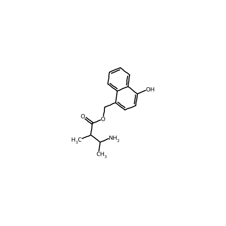 CC(N)C(C)C(=O)OCc1ccc(O)c2ccccc12